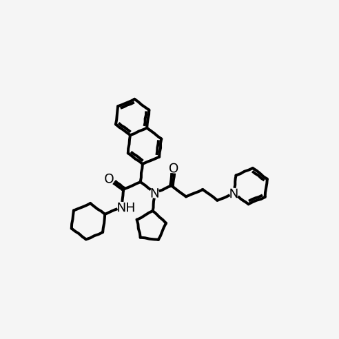 O=C(NC1CCCCC1)C(c1ccc2ccccc2c1)N(C(=O)CCCN1C=CC=CC1)C1CCCC1